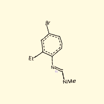 CCc1cc(Br)ccc1/N=C/NC